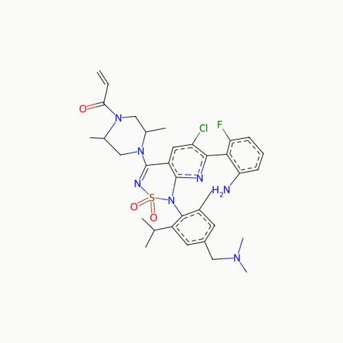 C=CC(=O)N1CC(C)N(C2=NS(=O)(=O)N(c3c(C)cc(CN(C)C)cc3C(C)C)c3nc(-c4c(N)cccc4F)c(Cl)cc32)CC1C